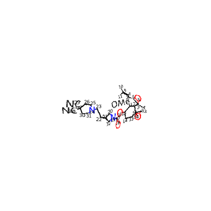 CO[C@H]1C([C@@]2(C)O[C@@H]2CC=C(C)C)[C@]2(CC[C@H]1OC(=O)N1CC(CCN3CCC(C#N)(C#N)CC3)C1)CO2